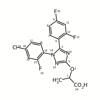 CC(Oc1nc(-c2ccc(F)cc2F)n(-c2ccc(Cl)cc2F)n1)C(=O)O